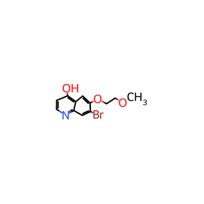 COCCOc1cc2c(O)ccnc2cc1Br